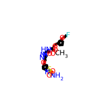 COC(=O)[C@H](COCc1cccc(OCCF)c1)NC(=O)Cn1cc(COc2ccc3nc(S(N)(=O)=O)sc3c2)nn1